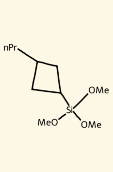 CCCC1CC([Si](OC)(OC)OC)C1